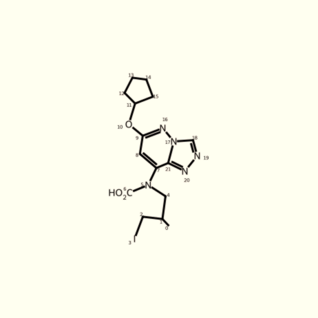 CC(CI)CN(C(=O)O)c1cc(OC2CCCC2)nn2cnnc12